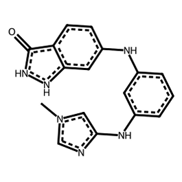 Cn1cnc(Nc2cccc(Nc3ccc4c(=O)[nH][nH]c4c3)c2)c1